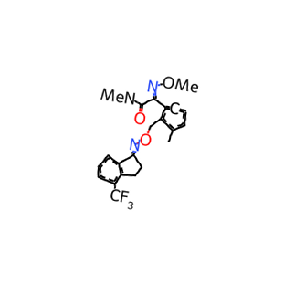 CNC(=O)/C(=N/OC)c1cccc(C)c1CO/N=C1\CCc2c1cccc2C(F)(F)F